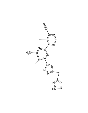 Cc1c(C#N)cccc1-c1nc(N)c(F)c(-c2cn(Cc3cc[nH]n3)nn2)n1